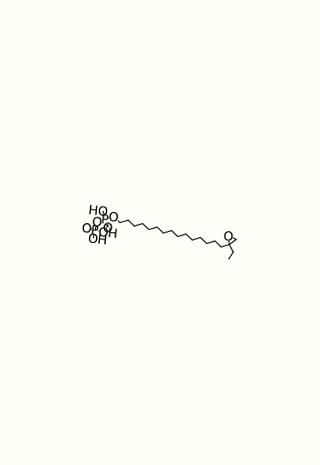 CCC1(CCCCCCCCCCCCCCCOP(=O)(O)OP(=O)(O)O)CO1